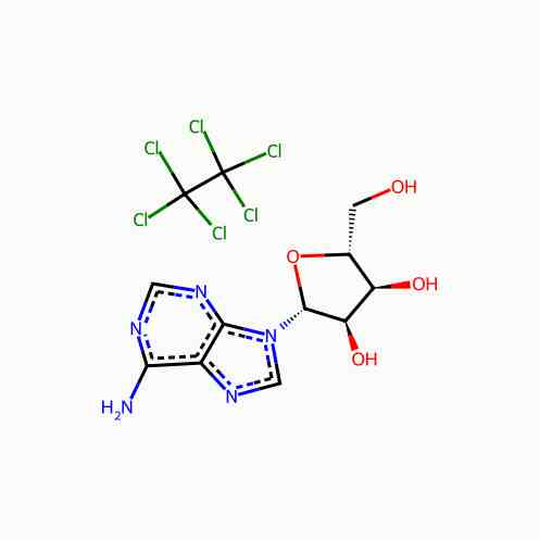 ClC(Cl)(Cl)C(Cl)(Cl)Cl.Nc1ncnc2c1ncn2[C@@H]1O[C@H](CO)[C@@H](O)[C@H]1O